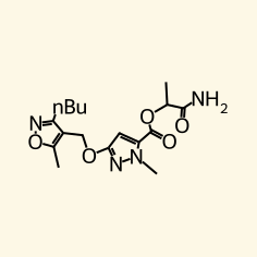 CCCCc1noc(C)c1COc1cc(C(=O)OC(C)C(N)=O)n(C)n1